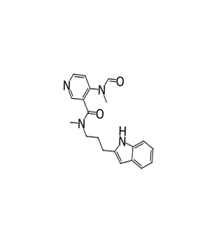 CN(CCCc1cc2ccccc2[nH]1)C(=O)c1cnccc1N(C)C=O